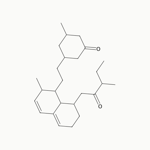 CCC(C)C(=O)CC1CCC=C2C=CC(C)C(CCC3CC(=O)CC(C)C3)C21